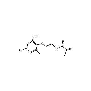 C=C(C)C(=O)OCCOc1c(I)cc(CC)cc1C=O